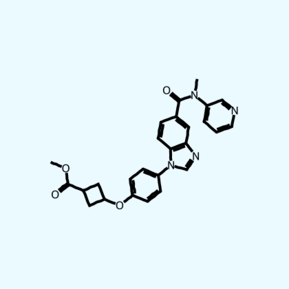 COC(=O)C1CC(Oc2ccc(-n3cnc4cc(C(=O)N(C)c5cccnc5)ccc43)cc2)C1